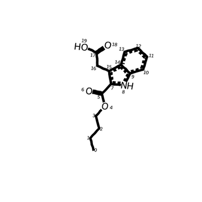 CCCCOC(=O)c1[nH]c2ccccc2c1CC(=O)O